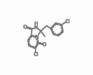 CC1(Cc2cccc(Cl)c2)NC(=O)c2ccc(Cl)c(=O)n21